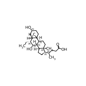 CC[C@H]1[C@H](O)[C@@H]2[C@H](CC[C@]3(C)[C@@H]([C@H](C)CCC(=O)O)CC[C@@H]23)[C@@]2(C)CC[C@H](O)C[C@@H]12